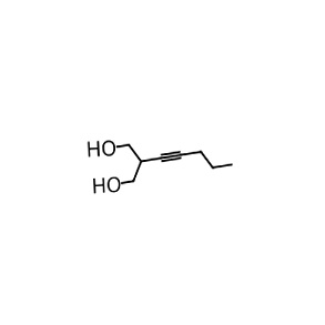 CCCC#CC(CO)CO